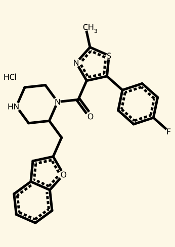 Cc1nc(C(=O)N2CCNCC2Cc2cc3ccccc3o2)c(-c2ccc(F)cc2)s1.Cl